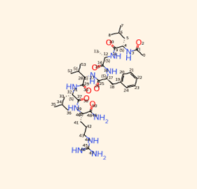 CC(=O)N[C@@H](CC(C)C)C(=O)N[C@@H](C)C(=O)N[C@@H](Cc1ccccc1)C(=O)N[C@H](C(=O)N[C@@H](CC(C)C)C(=O)N[C@@H](CCCNC(=N)N)C(N)=O)C(C)C